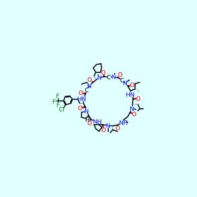 CC[C@H](C)[C@@H]1NC(=O)[C@H](CC(C)C)N(C)C(=O)C[C@@H](C)NC(=O)[C@H](C(C)C)N(C)C(=O)C2(CCCC2)NC(=O)[C@@H]2CCCN2C(=O)[C@H](CCc2ccc(C(F)(F)F)c(Cl)c2)NC(=O)CN(CC)C(=O)[C@H](CC2CCCCC2)N(C)C(=O)CN(C)C(=O)CN(C)C1=O